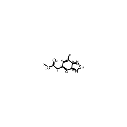 COC(=O)Cc1cc(C)c2nsnc2c1